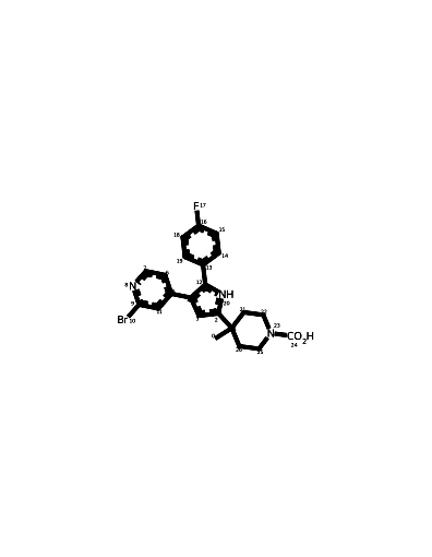 CC1(c2cc(-c3ccnc(Br)c3)c(-c3ccc(F)cc3)[nH]2)CCN(C(=O)O)CC1